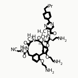 Cc1nc(-c2ccc(CC(C)C)cc2)ncc1C(=O)N[C@@H](CCN)C(=O)N(C)[C@@H]1C(=O)N[C@@H](C)C(=O)N[C@H](C(=O)NCC#N)Cc2ccc(OCCN)c(c2)-c2cc1ccc2OCCN